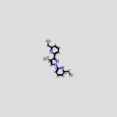 BrCc1cccc(-c2nn(-c3cccc(CBr)n3)cc2Br)n1